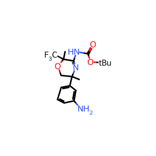 CC(C)(C)OC(=O)NC1=NC(C)(c2cccc(N)c2)COC1(C)C(F)(F)F